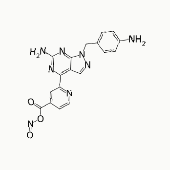 Nc1ccc(Cn2ncc3c(-c4cc(C(=O)ON=O)ccn4)nc(N)nc32)cc1